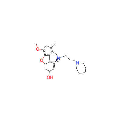 COc1cc(C)c2c3c1OC1CC(O)C=CC31CCN(CCCN1CCCCC1)C2